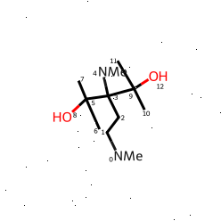 CNCCC(NC)(C(C)(C)O)C(C)(C)O